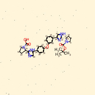 CC(C)(C)OC(=O)N1CCC[C@H]1c1nc(-c2cccc(Oc3ccc(-c4cnc(C5CCCN5C(=O)O)[nH]4)cc3)c2)c[nH]1